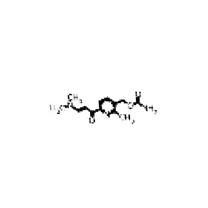 Cc1nc(C(=O)C=CN(C)C)ccc1COC(N)=O